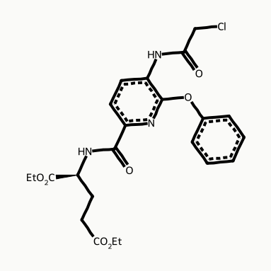 CCOC(=O)CC[C@H](NC(=O)c1ccc(NC(=O)CCl)c(Oc2ccccc2)n1)C(=O)OCC